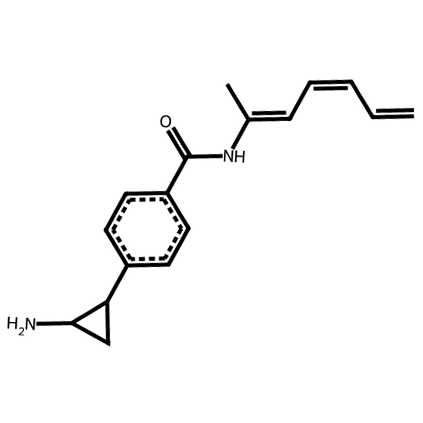 C=C/C=C\C=C(/C)NC(=O)c1ccc(C2CC2N)cc1